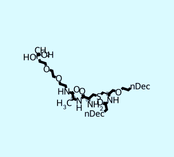 C=P(O)(O)CCOCCOCCNC(=O)[C@H](C)NC(=O)[C@@H](N)CSC[C@@H](COCCCCCCCCCCCC)NC(=O)CCCCCCCCCCC